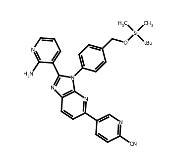 CC(C)(C)[Si](C)(C)OCc1ccc(-n2c(-c3cccnc3N)nc3ccc(-c4ccc(C#N)nc4)nc32)cc1